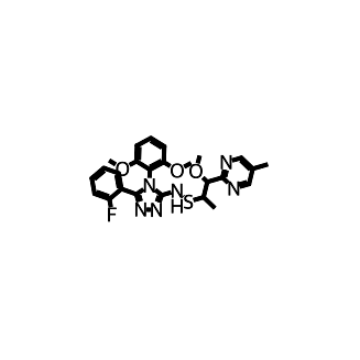 COc1cccc(OC)c1-n1c(NSC(C)C(OC)c2ncc(C)cn2)nnc1-c1ccccc1F